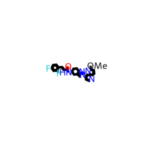 COc1ccc2nccc(-n3cc4c(n3)CCC(NC(=O)/C=C/c3ccc(F)cc3F)C4)c2n1